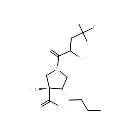 CCCC[C@H]1CN(C(=O)C(N)CC(F)(F)F)C[C@@]1(N)C(=O)O